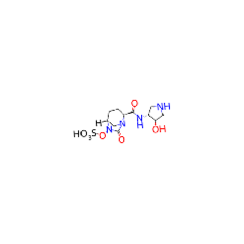 O=C(N[C@@H]1CNC[C@H]1O)[C@@H]1CC[C@@H]2CN1C(=O)N2OS(=O)(=O)O